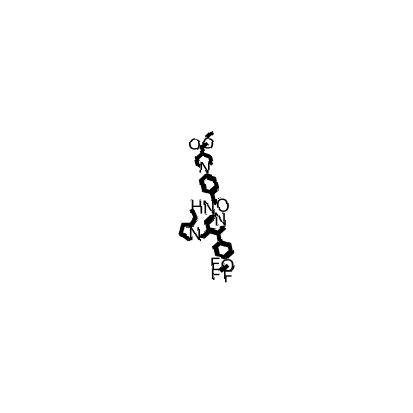 CCOC(=O)C1CCN(c2ccc(C(=O)Nc3cc(CN4CCCC4CC)c(-c4ccc(OC(F)(F)F)cc4)cn3)cc2)CC1